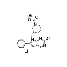 CC(C)(C)OC(=O)N1CCCC(Cn2c(-c3ccccc3Cl)cc3cnc(Cl)nc32)C1